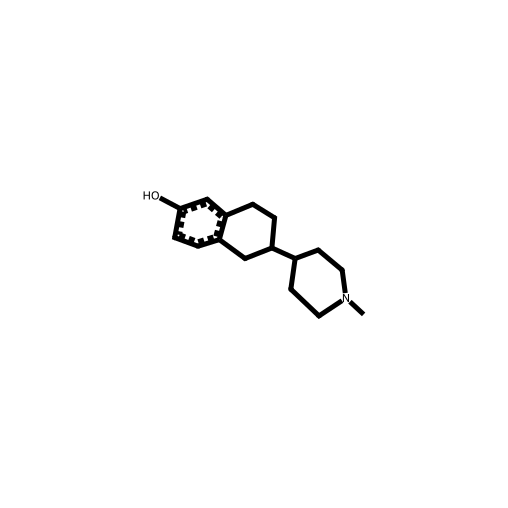 CN1CCC(C2CCc3cc(O)ccc3C2)CC1